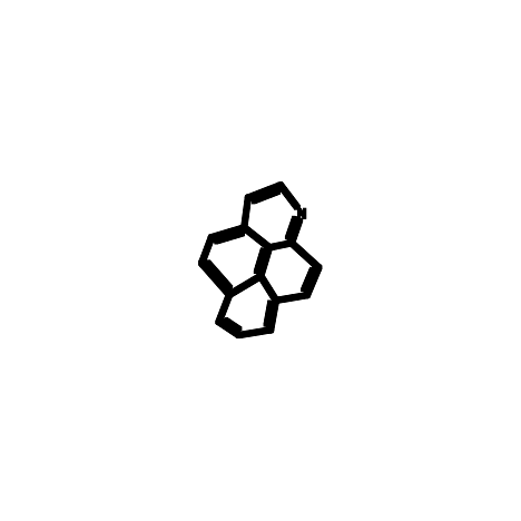 c1cc2ccc3ccnc4ccc(c1)c2c34